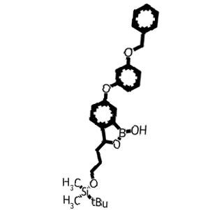 CC(C)(C)[Si](C)(C)OCCCC1OB(O)c2cc(Oc3cccc(OCc4ccccc4)c3)ccc21